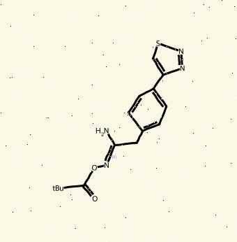 CC(C)(C)C(=O)O/N=C(\N)Cc1ccc(-c2csnn2)cc1